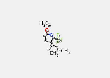 CCCC(CC)c1ccc(OCC)nc1C(F)(F)F